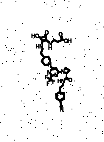 N#Cc1ccc(CCNC(=O)[C@@H]2CCN2c2cc(N3CCC(CCNC4=C(NCCC(=O)O)C(=O)C4O)CC3)nc(C(F)(F)F)n2)cc1